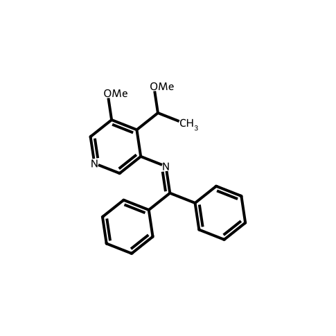 COc1cncc(N=C(c2ccccc2)c2ccccc2)c1C(C)OC